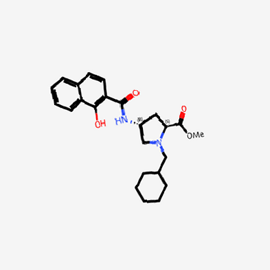 COC(=O)[C@@H]1C[C@@H](NC(=O)c2ccc3ccccc3c2O)CN1CC1CCCCC1